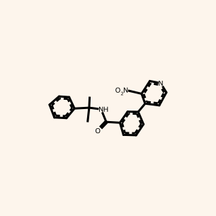 CC(C)(NC(=O)c1cccc(-c2ccncc2[N+](=O)[O-])c1)c1ccccc1